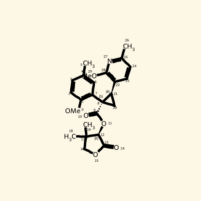 COc1ccc(C)cc1[C@]1(C(=O)O[C@H]2C(=O)OCC2(C)C)C[C@@H]1c1ccc(C)nc1OC